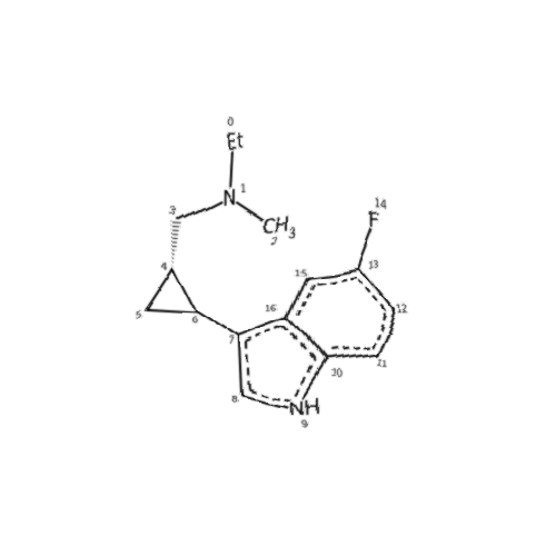 CCN(C)C[C@H]1CC1c1c[nH]c2ccc(F)cc12